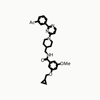 COc1cc(OCC2CC2)cc(C(=O)NCC2CCN(c3ccnc(-c4cccc(C(C)=O)c4)n3)CC2)c1